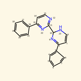 C1=CC(c2ccccc2)=N[C](c2nccc(-c3ccccc3)n2)N1